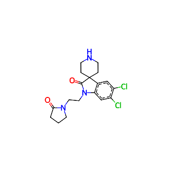 O=C1CCCN1CCN1C(=O)C2(CCNCC2)c2cc(Cl)c(Cl)cc21